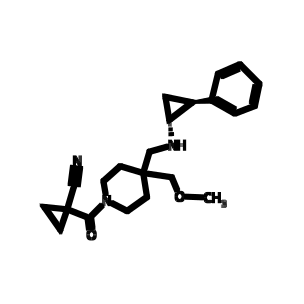 COCC1(CN[C@@H]2C[C@H]2c2ccccc2)CCN(C(=O)C2(C#N)CC2)CC1